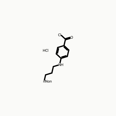 CCCCCCCCCCCCNc1ccc(C(=O)Cl)cc1.Cl